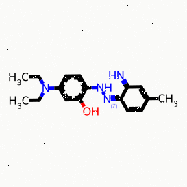 CCN(CC)c1ccc(N/N=C2/C=CC(C)=CC2=N)c(O)c1